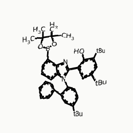 CC(C)(C)c1ccc(-n2c(-c3cc(C(C)(C)C)cc(C(C)(C)C)c3O)nc3c(B4OC(C)(C)C(C)(C)O4)cccc32)c(-c2ccccc2)c1